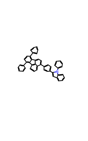 c1ccc(-c2ccc(-c3ccccc3)c3c2-c2cccc4c(-c5ccc(-c6cc7ccccc7n6-c6ccccc6)cc5)ccc-3c24)cc1